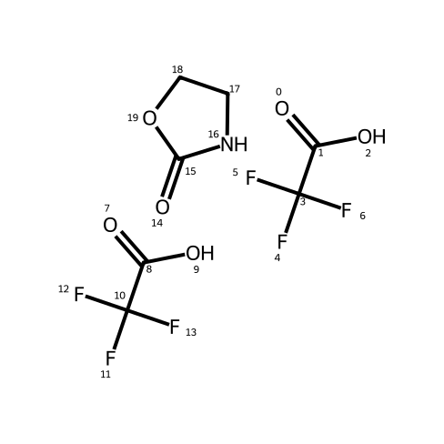 O=C(O)C(F)(F)F.O=C(O)C(F)(F)F.O=C1NCCO1